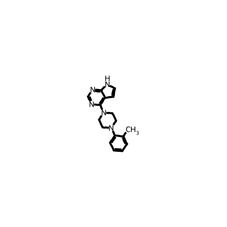 Cc1ccccc1N1CCN(c2ncnc3[nH]ccc23)CC1